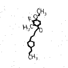 CCCC1CCC(CCCC(=O)c2ccc(OCC)c(F)c2C)CC1